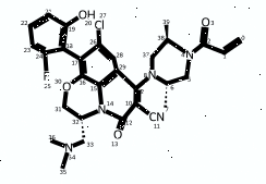 C=CC(=O)N1C[C@H](C)N(c2c(C#N)c(=O)n3c4c(c(-c5c(O)cccc5F)c(Cl)cc24)OC[C@H]3CN(C)C)C[C@H]1C